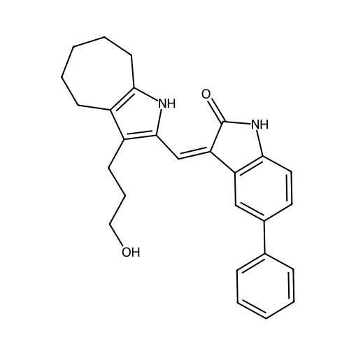 O=C1Nc2ccc(-c3ccccc3)cc2/C1=C/c1[nH]c2c(c1CCCO)CCCCC2